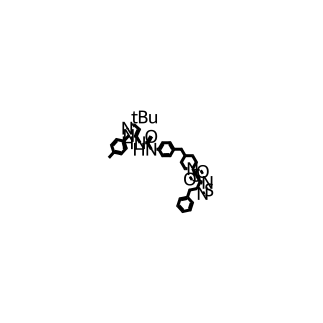 Cc1ccc(-n2nc(C(C)(C)C)cc2NC(=O)Nc2ccc(CC3CCN(S(=O)(=O)c4nsnc4Cc4ccccc4)CC3)cc2)cc1